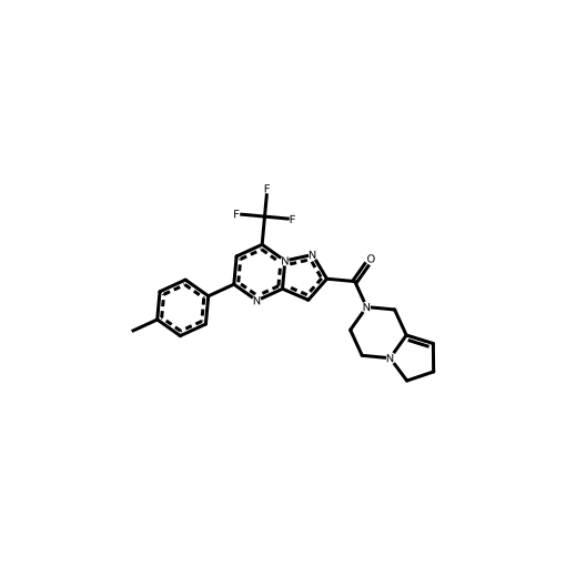 Cc1ccc(-c2cc(C(F)(F)F)n3nc(C(=O)N4CCN5CCC=C5C4)cc3n2)cc1